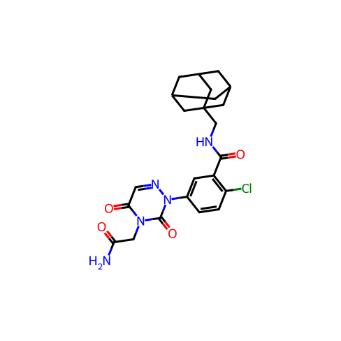 NC(=O)Cn1c(=O)cnn(-c2ccc(Cl)c(C(=O)NCC34CC5CC(CC(C5)C3)C4)c2)c1=O